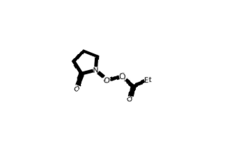 CCC(=O)OON1CCCC1=O